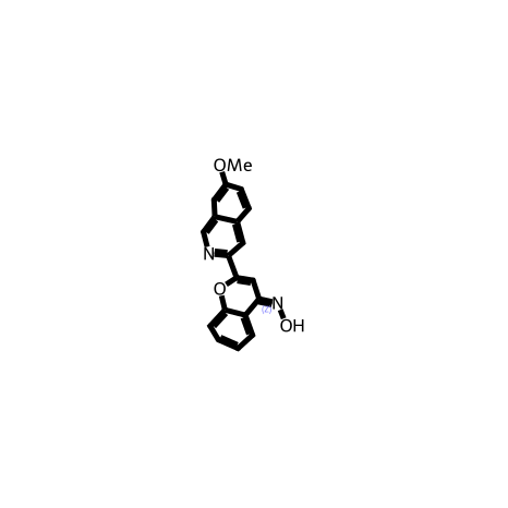 COc1ccc2cc(-c3c/c(=N/O)c4ccccc4o3)ncc2c1